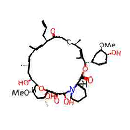 C=CC[C@@H]1/C=C(\C)C[C@@H](C)C[C@H](O)[C@H]2O[C@@](O)(C(=O)C(O)N3CCCC[C@H]3C(=O)OC([C@H]3CC[C@H](O)[C@@H](OC)C3)/C(C)=C/[C@H](C)CCC1=O)[C@H](C)C[C@@H]2OC